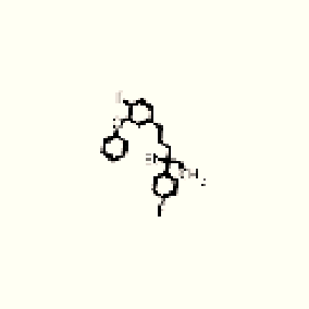 C=CC(CC)(CCCc1ccc(F)c(Oc2ccccc2)c1)c1ccc(F)cc1